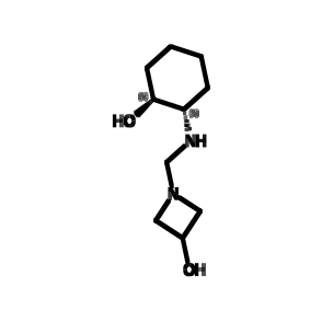 OC1CN(CN[C@H]2CCCC[C@@H]2O)C1